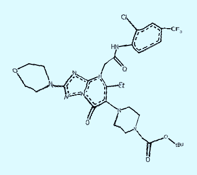 CCc1c(N2CCN(C(=O)OC(C)(C)C)CC2)c(=O)n2nc(N3CCOCC3)nc2n1CC(=O)Nc1ccc(C(F)(F)F)cc1Cl